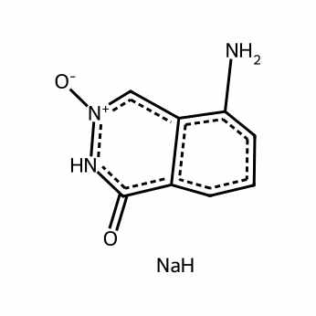 Nc1cccc2c(=O)[nH][n+]([O-])cc12.[NaH]